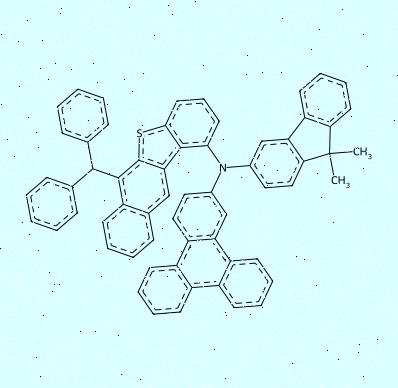 CC1(C)c2ccccc2-c2cc(N(c3ccc4c5ccccc5c5ccccc5c4c3)c3cccc4sc5c(C(c6ccccc6)c6ccccc6)c6ccccc6cc5c34)ccc21